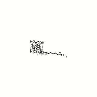 C=C.C=C.C=C.C=C.C=C.C=C.CCCCCCCOC.OCCO